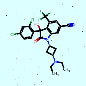 CCN(CC)[C@H]1C[C@@H](N2C(=O)C(O)(c3ccc(Cl)cc3Cl)c3c2cc(C#N)cc3C(F)(F)F)C1